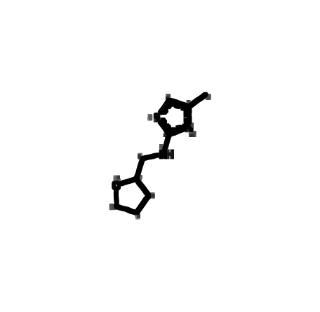 Cc1csc(NCC2CCCO2)n1